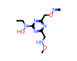 C=NOCc1nc(CNOC)nc(N(O)CC)n1